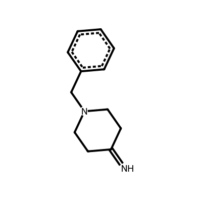 N=C1CCN(Cc2ccccc2)CC1